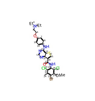 CCN(CC)CCOc1ccc(Nc2ncnc3c(C(=O)Nc4c(Cl)c(C)c(Br)c(OC)c4Cl)csc23)cc1